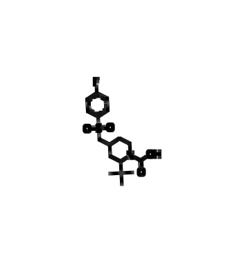 CC(C)(C)C1CC(CS(=O)(=O)c2ccc(F)cc2)CCN1C(=O)O